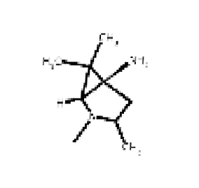 CC1C[C@]2(N)[C@H](N1I)C2(C)C